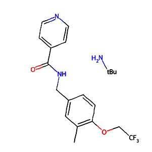 CC(C)(C)N.Cc1cc(CNC(=O)c2ccncc2)ccc1OCC(F)(F)F